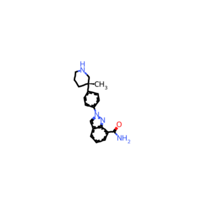 C[C@@]1(c2ccc(-n3cc4cccc(C(N)=O)c4n3)cc2)CCCNC1